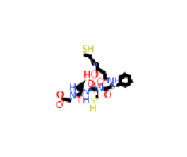 COC(=O)CNC(=O)C1(NC(=O)[C@@H](CS)NC(=O)[C@@H](Cc2ccccc2)NC(=O)C[C@H](O)/C=C/CCS)CC1